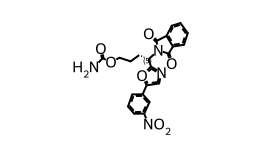 NC(=O)OCCC[C@@H](c1ncc(-c2cccc([N+](=O)[O-])c2)o1)N1C(=O)c2ccccc2C1=O